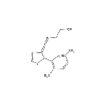 Nc1ccc(N)c(C2SC=CC2=C=NCCO)c1